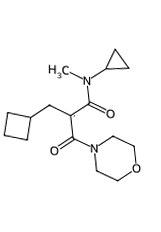 CN(C(=O)[C](CC1CCC1)C(=O)N1CCOCC1)C1CC1